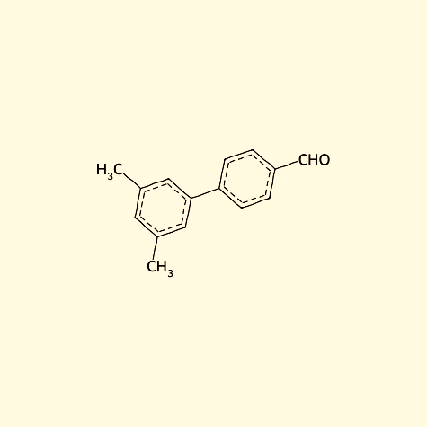 Cc1cc(C)cc(-c2ccc(C=O)cc2)c1